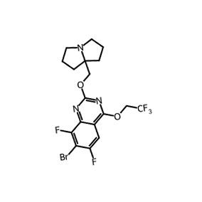 Fc1cc2c(OCC(F)(F)F)nc(OCC34CCCN3CCC4)nc2c(F)c1Br